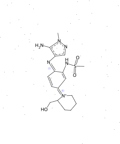 Cn1ncc(/N=C2C=C/C(=[N+]3/CCCCC3CO)C=C/2NS(C)(=O)=O)c1N